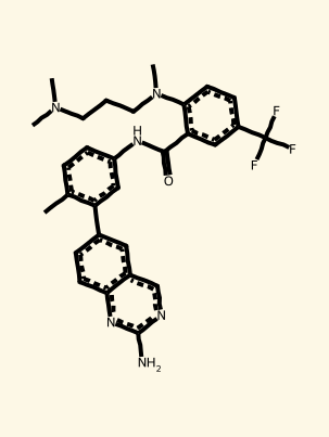 Cc1ccc(NC(=O)c2cc(C(F)(F)F)ccc2N(C)CCCN(C)C)cc1-c1ccc2nc(N)ncc2c1